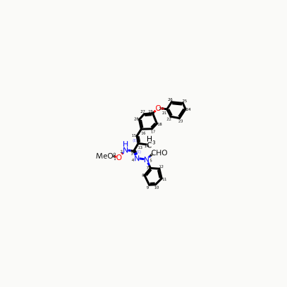 COONC(=N/N(C=O)c1ccccc1)/C(C)=C/c1ccc(Oc2ccccc2)cc1